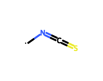 [CH2]N=C=S